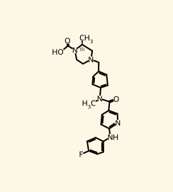 C[C@H]1CN(Cc2ccc(N(C)C(=O)c3ccc(Nc4ccc(F)cc4)nc3)cc2)CCN1C(=O)O